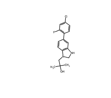 CC(C)(O)CN1CNc2cc(-c3ccc(Cl)cc3F)ccc21